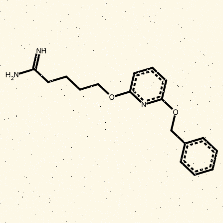 N=C(N)CCCCOc1cccc(OCc2ccccc2)n1